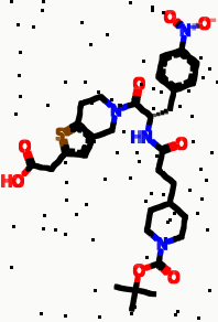 CC(C)(C)OC(=O)N1CCC(CCC(=O)N[C@@H](Cc2ccc([N+](=O)[O-])cc2)C(=O)N2CCc3sc(CC(=O)O)cc3C2)CC1